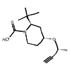 C#C[C@@H](C)O[C@@H]1CCN(C(=O)O)[C@@H](C(C)(C)C)C1